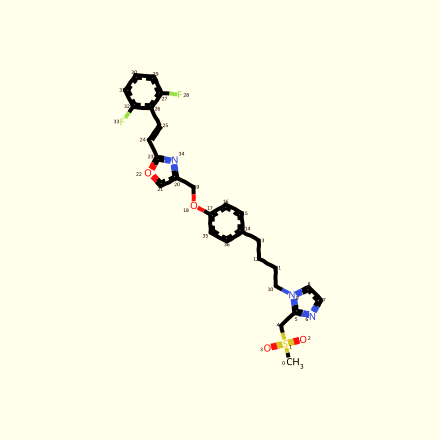 CS(=O)(=O)Cc1nccn1CCCCc1ccc(OCc2coc(C=Cc3c(F)cccc3F)n2)cc1